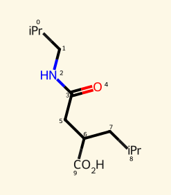 CC(C)CNC(=O)CC(CC(C)C)C(=O)O